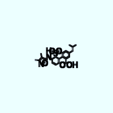 Cc1noc(NC2C=CC=C(c3ccc(CC(C)C)cc3C(=O)O)C2=S(=O)=O)c1C